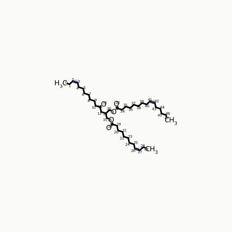 CC/C=C\CCCCCCCC(=O)CC(COC(=O)CCCCCCC/C=C\CC)COC(=O)CCCCCCC/C=C\CCCCC